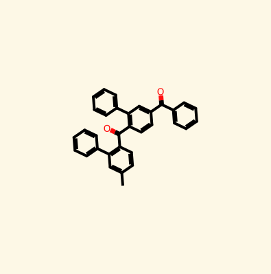 Cc1ccc(C(=O)c2ccc(C(=O)c3ccccc3)cc2-c2ccccc2)c(-c2ccccc2)c1